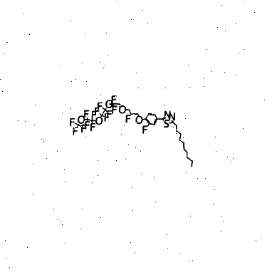 CCCCCCCCCCc1nnc(-c2ccc(OC[C@@H](F)COCC(F)(F)OC(F)(F)C(F)(F)OC(F)(F)C(F)(F)OC(F)(F)F)c(F)c2)s1